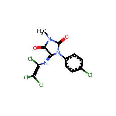 CN1C(=O)C(=NC(Cl)=C(Cl)Cl)N(c2ccc(Cl)cc2)C1=O